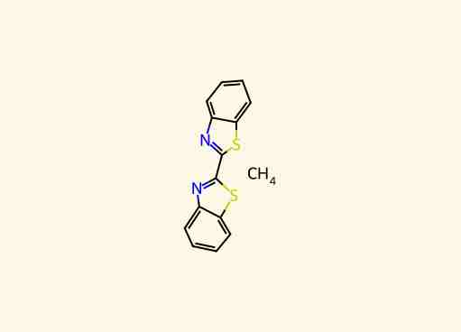 C.c1ccc2sc(-c3nc4ccccc4s3)nc2c1